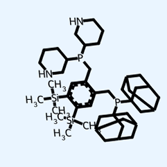 C[Si](C)(C)c1cc(CP(C2CCCNC2)C2CCCNC2)c(CP(C23CC4CC(CC(C4)C2)C3)C23CC4CC(CC(C4)C2)C3)cc1[Si](C)(C)C